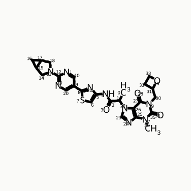 CC(C(=O)Nc1csc(-c2cnc(N3CC4CC4C3)nc2)n1)n1cnc2c1c(=O)n(CC1CCO1)c(=O)n2C